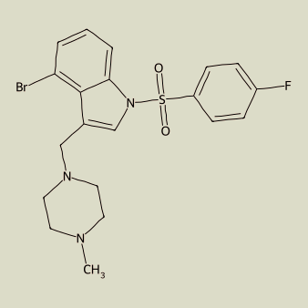 CN1CCN(Cc2cn(S(=O)(=O)c3ccc(F)cc3)c3cccc(Br)c23)CC1